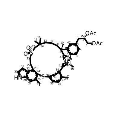 CC(=O)OC[C@H](Cc1cccc([C@@]2(C)CCCC(C)(C)CS(=O)(=O)CCc3c(c(F)cc4[nH]ccc34)Sc3ccc(F)c(c3)-c3nc2nn3C)c1)OC(C)=O